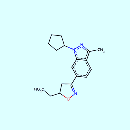 Cc1nn(C2CCCC2)c2cc(C3=NOC(CC(=O)O)C3)ccc12